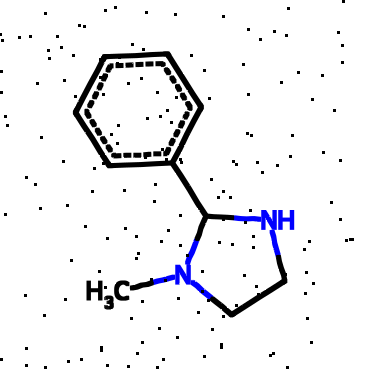 CN1CCNC1c1ccccc1